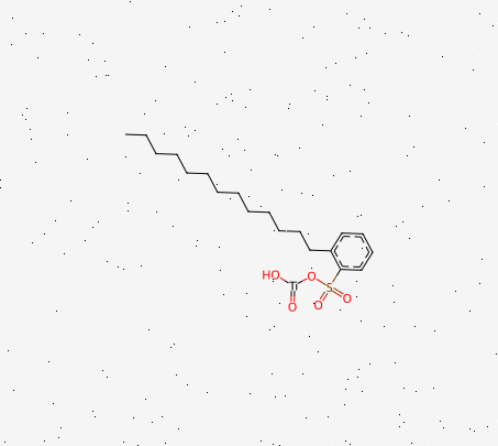 CCCCCCCCCCCCCc1ccccc1S(=O)(=O)[O][Ti](=[O])[OH]